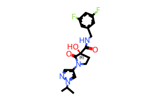 CC(C)n1cc(N2CC[C@@](O)(C(=O)NCc3cc(F)cc(F)c3)C2=O)cn1